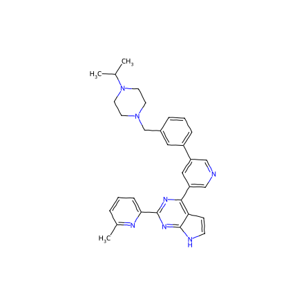 Cc1cccc(-c2nc(-c3cncc(-c4cccc(CN5CCN(C(C)C)CC5)c4)c3)c3cc[nH]c3n2)n1